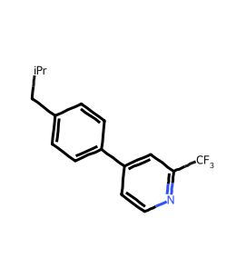 CC(C)Cc1ccc(-c2ccnc(C(F)(F)F)c2)cc1